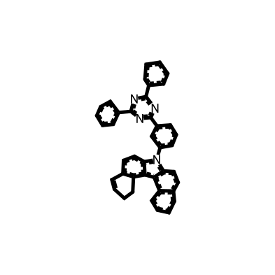 C1=Cc2ccc3c(c2CC1)c1c2ccccc2ccc1n3-c1cccc(-c2nc(-c3ccccc3)nc(-c3ccccc3)n2)c1